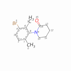 Cc1ccc(Br)c(C)c1N1CCCCC1=O